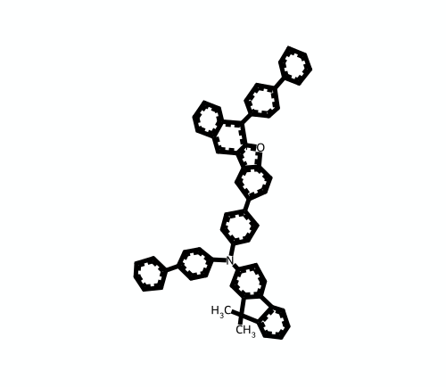 CC1(C)c2ccccc2-c2ccc(N(c3ccc(-c4ccccc4)cc3)c3ccc(-c4ccc5oc6c(-c7ccc(-c8ccccc8)cc7)c7ccccc7cc6c5c4)cc3)cc21